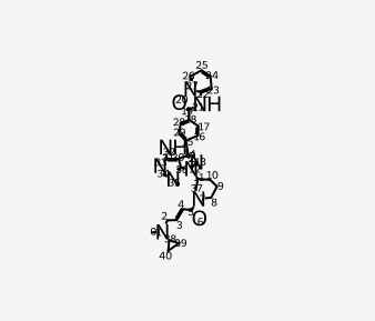 CN(C/C=C/C(=O)N1CCCC(n2nc(-c3ccc(C(=O)Nc4ccccn4)cc3)c3c(N)ncnc32)C1)C1CC1